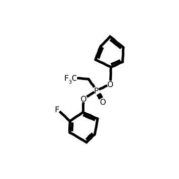 O=P(CC(F)(F)F)(Oc1ccccc1)Oc1ccccc1F